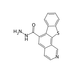 NNC(=O)c1cc2ccncc2c2sc3ccccc3c12